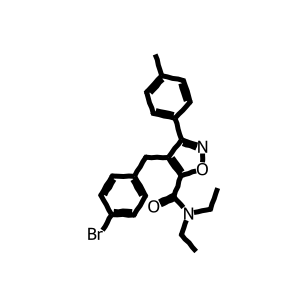 CCN(CC)C(=O)c1onc(-c2ccc(C)cc2)c1Cc1ccc(Br)cc1